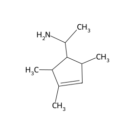 CC1=CC(C)C(C(C)N)C1C